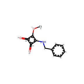 CCOc1c(NCc2ccccc2)c(=O)c1=O